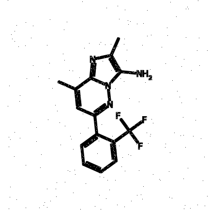 Cc1nc2c(C)cc(-c3ccccc3C(F)(F)F)nn2c1N